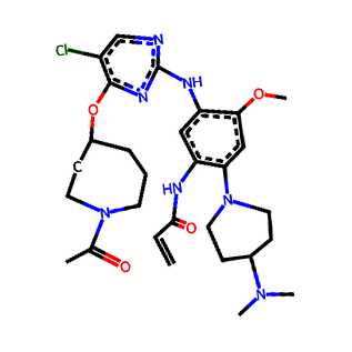 C=CC(=O)Nc1cc(Nc2ncc(Cl)c(OC3CCCN(C(C)=O)CC3)n2)c(OC)cc1N1CCC(N(C)C)CC1